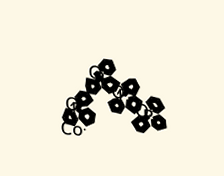 O=P(c1ccccc1)(c1ccccc1)c1ccccc1.O=P(c1ccccc1)(c1ccccc1)c1ccccc1.O=P(c1ccccc1)(c1ccccc1)c1ccccc1.O=P(c1ccccc1)(c1ccccc1)c1ccccc1.[Co]